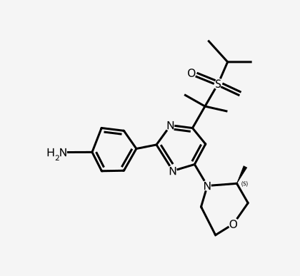 C=S(=O)(C(C)C)C(C)(C)c1cc(N2CCOC[C@@H]2C)nc(-c2ccc(N)cc2)n1